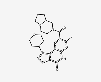 Cc1cc2[nH]c(=O)c3cnn(C4CCOCC4)c3c2cc1C(=O)N1CCN2CCCC2C1